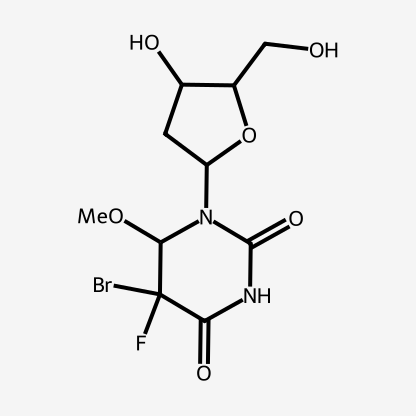 COC1N(C2CC(O)C(CO)O2)C(=O)NC(=O)C1(F)Br